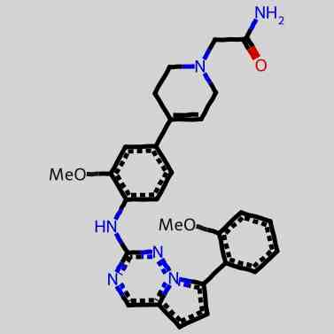 COc1cc(C2=CCN(CC(N)=O)CC2)ccc1Nc1ncc2ccc(-c3ccccc3OC)n2n1